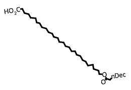 CCCCCCCCCCCC(=O)OCCCCCCCCCCCCCCCCCCCCCCCCCCCCC(=O)O